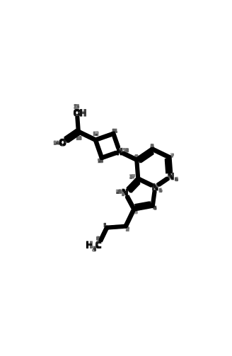 CCCc1cn2nccc(N3CC(C(=O)O)C3)c2n1